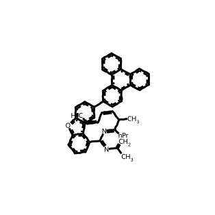 C=C(C)/N=C(\N=C(/CCC)C(C)/C=C\C=C/C)c1cccc2oc3ccc(-c4ccc5c6ccccc6c6ccccc6c5c4)cc3c12